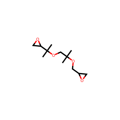 CC(C)(COC(C)(C)C1CO1)OCC1CO1